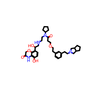 O=C1COc2c(C(O)CNCCN(C(=O)CCOCCc3cccc(CCN4CC5CCCC5C4)c3)C3CCCC3)ccc(O)c2N1